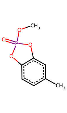 COP1(=O)Oc2ccc(C)cc2O1